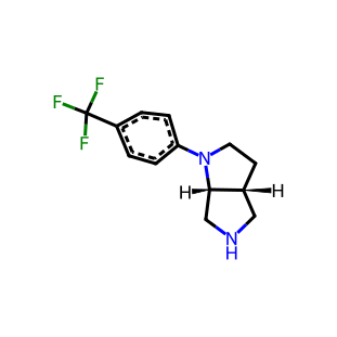 FC(F)(F)c1ccc(N2CC[C@@H]3CNC[C@@H]32)cc1